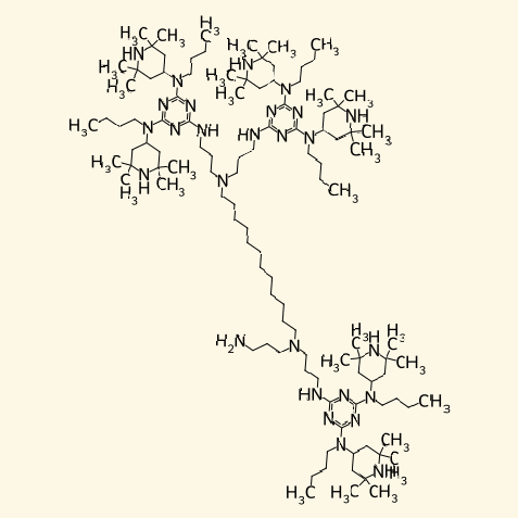 CCCCN(c1nc(NCCCN(CCCN)CCCCCCCCCCCCN(CCCNc2nc(N(CCCC)C3CC(C)(C)NC(C)(C)C3)nc(N(CCCC)C3CC(C)(C)NC(C)(C)C3)n2)CCCNc2nc(N(CCCC)C3CC(C)(C)NC(C)(C)C3)nc(N(CCCC)C3CC(C)(C)NC(C)(C)C3)n2)nc(N(CCCC)C2CC(C)(C)NC(C)(C)C2)n1)C1CC(C)(C)NC(C)(C)C1